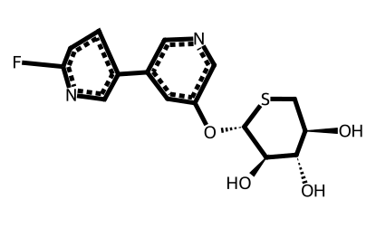 O[C@@H]1[C@@H](O)[C@H](Oc2cncc(-c3ccc(F)nc3)c2)SC[C@H]1O